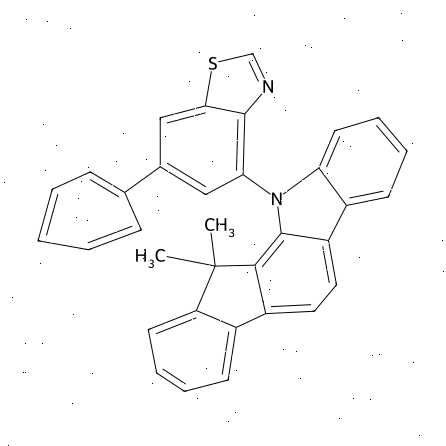 CC1(C)c2ccccc2-c2ccc3c4ccccc4n(-c4cc(-c5ccccc5)cc5scnc45)c3c21